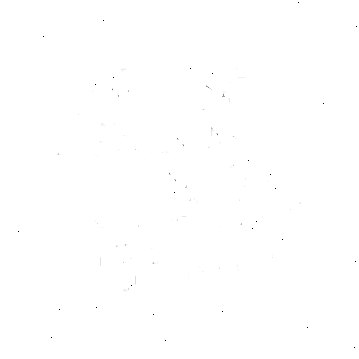 CCc1c(F)ccc2cc(O)cc(-c3c(Cl)cc4c(N5CCC[C@@](C)(O)C5)nc(OC[C@]5(C)CN(C)CC/C5=C\F)nc4c3F)c12.O=C(O)C(F)(F)F